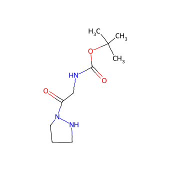 CC(C)(C)OC(=O)NCC(=O)N1CCCN1